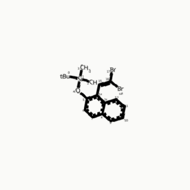 CC(C)(C)[Si](C)(C)Oc1ccc2ccccc2c1C=C(Br)Br